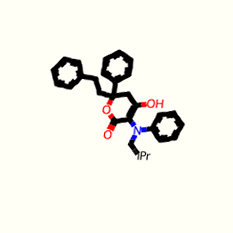 CC(C)CN(C1=C(O)CC(CCc2ccccc2)(c2ccccc2)OC1=O)c1ccccc1